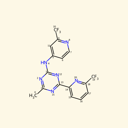 Cc1nc(Nc2ccnc(C(F)(F)F)c2)nc(-c2cccc(C(F)(F)F)n2)n1